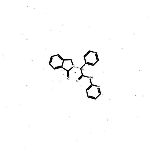 O=C(Nc1ccccn1)[C@@H](c1ccccc1)N1Cc2ccccc2C1=O